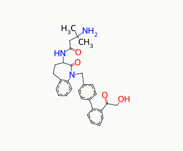 CC(C)(N)CC(=O)NC1CCc2ccccc2N(Cc2ccc(-c3ccccc3C(=O)CO)cc2)C1=O